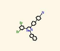 N#Cc1ccc(-c2ccc(-c3cc(-c4cc(Br)cc(Br)c4)nc(-c4ccc5ccccc5c4)n3)cc2)cc1